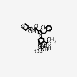 Cc1c(C(=O)NCC2(O)CCOCC2)cn(-c2ccc(S(=O)(=O)NC(C)(C)C)c(C(C)(C)O)c2)c1CC1CCCCC1